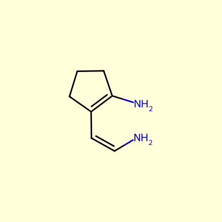 N/C=C\C1=C(N)CCC1